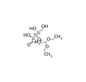 CCOC(C)OCC.O=C1CO[C@H]([C@H](O)CO)[C@@H]1O